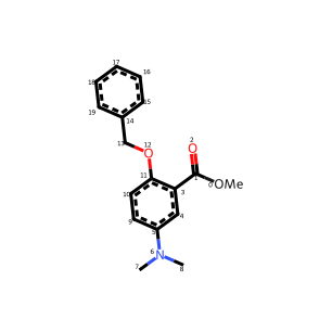 COC(=O)c1cc(N(C)C)ccc1OCc1ccccc1